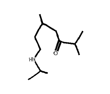 CC(CCNC(C)C)CC(=O)C(C)C